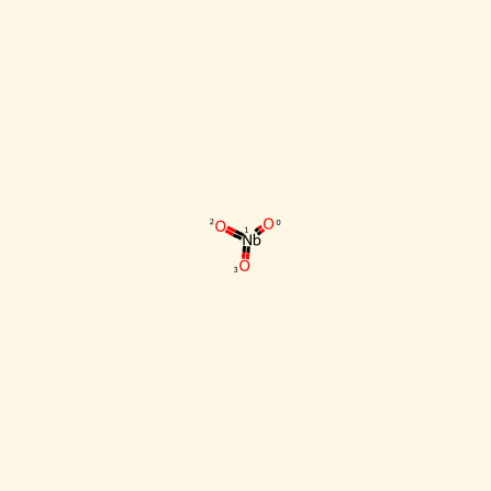 [O]=[Nb](=[O])=[O]